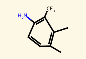 Cc1[c]cc(N)c(C(F)(F)F)c1C